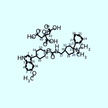 COc1ccc2[nH]cc(C3CCN(OC(=O)NCC4CCC(c5ccccc5)(N(C)C)CC4)CC3)c2c1.O=C(O)CC(O)(CC(=O)O)C(=O)O